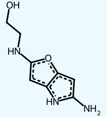 Nc1cc2oc(NCCO)cc2[nH]1